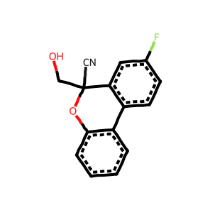 N#CC1(CO)Oc2ccccc2-c2ccc(F)cc21